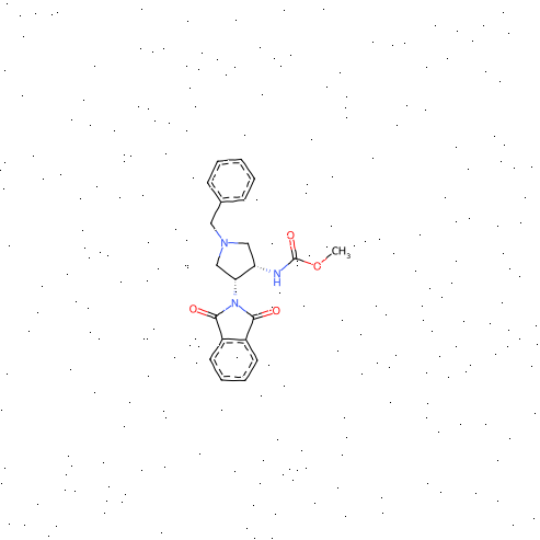 COC(=O)N[C@H]1CN(Cc2ccccc2)C[C@H]1N1C(=O)c2ccccc2C1=O